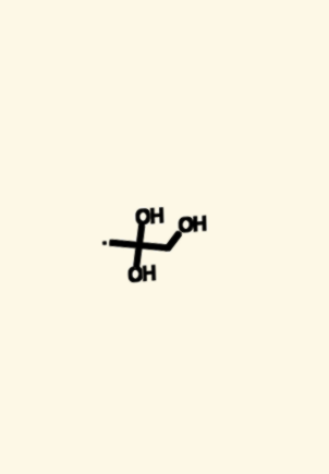 [CH2]C(O)(O)CO